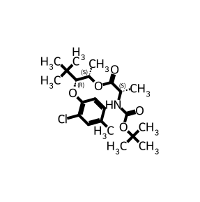 Cc1ccc(O[C@@H]([C@H](C)OC(=O)[C@H](C)NC(=O)OC(C)(C)C)C(C)(C)C)c(Cl)c1